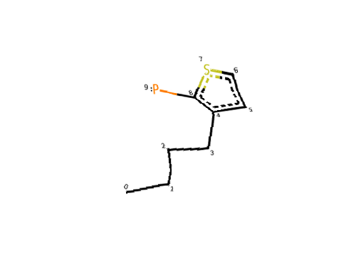 CCCCc1ccsc1[P]